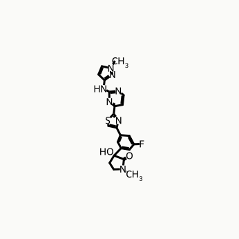 CN1CC[C@@](O)(c2cc(F)cc(-c3csc(-c4ccnc(Nc5ccn(C)n5)n4)n3)c2)C1=O